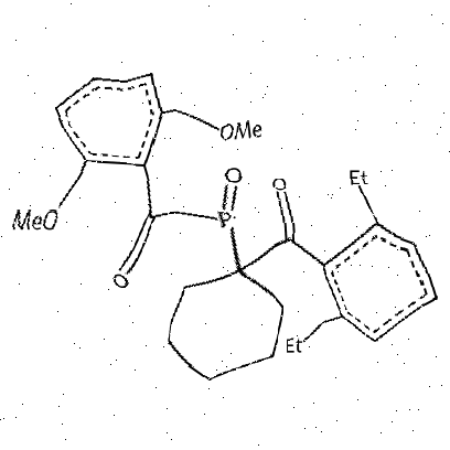 CCc1cccc(CC)c1C(=O)C1([P](=O)C(=O)c2c(OC)cccc2OC)CCCCC1